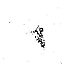 COc1cccc(-c2nnc(NS(=O)(=O)C(C)C(OC)c3ncc(Cl)cn3)n2CCC(N)=O)n1